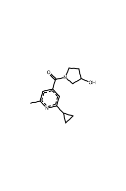 Cc1cc(C(=O)N2CCC(O)C2)cc(C2CC2)n1